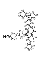 N#Cc1ccc(-c2ccc(-n3c4cc(-c5ccccc5)ccc4c4ccc(-c5ccc6c(c5)c5ccccc5n6-c5ccccc5)cc43)cc2)cc1